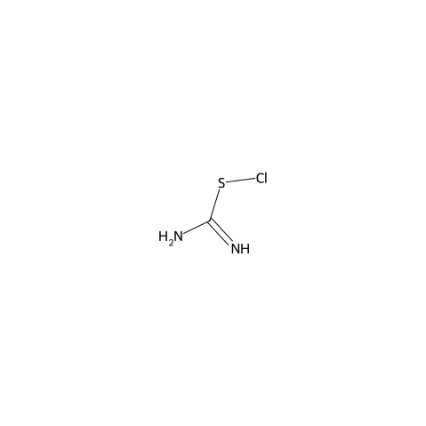 N=C(N)SCl